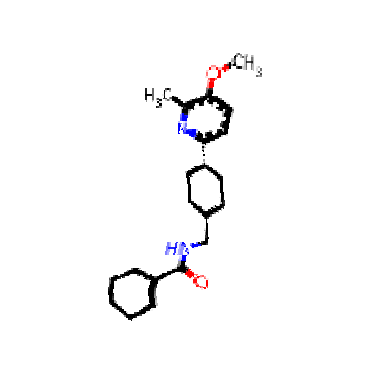 COc1ccc([C@H]2CC[C@H](CNC(=O)C3CCCCC3)CC2)nc1C